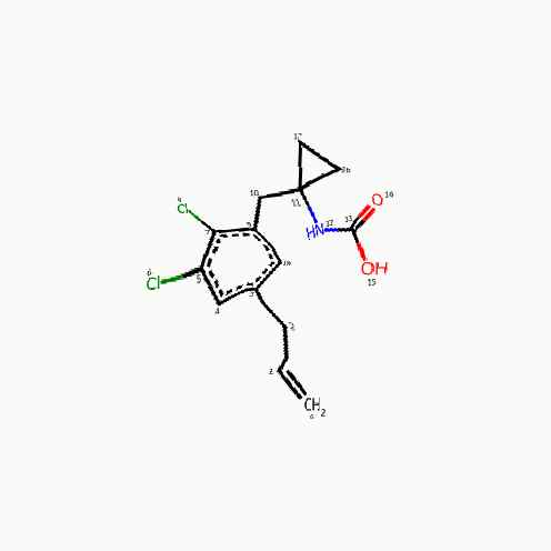 C=CCc1cc(Cl)c(Cl)c(CC2(NC(=O)O)CC2)c1